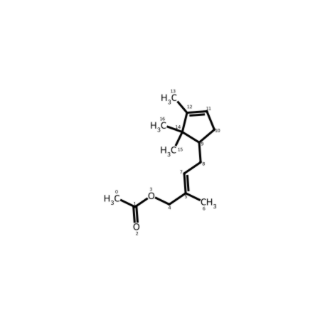 CC(=O)OC/C(C)=C/CC1CC=C(C)C1(C)C